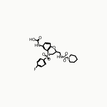 O=C(O)Nc1ccc2c(c1)N(S(=O)(=O)c1ccc(F)cc1)CC(CNS(=O)(=O)N1CCCCC1)O2